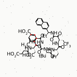 CC[C@H](NC(=O)C(=O)[C@H](CC(F)(F)F)NC(=O)[C@H](CC(C)C)NC(=O)[C@@H](NC(=O)[C@H](Cc1ccccc1C)NC(=O)[C@H](CCC(=O)O)NC(=O)[C@H](CC(=O)O)NC(=O)CCC(=O)O)C(C)(C)C)c1ccc2ccccc2c1